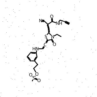 C#CCNC(=O)C(=C=c1sc(=C=CNc2cccc(CCOS(C)(=O)=O)c2)c(=O)n1CC)C#N